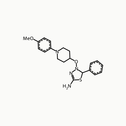 COc1ccc(N2CCC(ON3N=C(N)SC3c3ccccc3)CC2)cc1